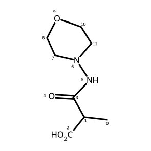 CC(C(=O)O)C(=O)NN1CCOCC1